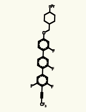 CCCC1CCC(COc2ccc(-c3ccc(-c4cc(F)c(C#CC(F)(F)F)c(F)c4)c(F)c3)c(F)c2)CC1